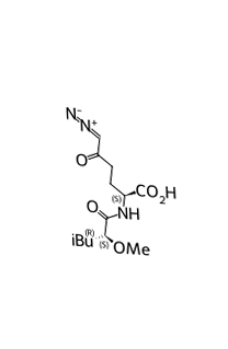 CC[C@@H](C)[C@H](OC)C(=O)N[C@@H](CCC(=O)C=[N+]=[N-])C(=O)O